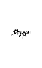 O=C(Nc1cccc(Br)n1)[C@@H]1C[C@@H](O)CN1